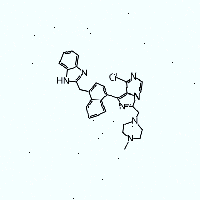 CN1CCN(Cc2nc(-c3ccc(Cc4nc5ccccc5[nH]4)c4ccccc34)c3c(Cl)nccn23)CC1